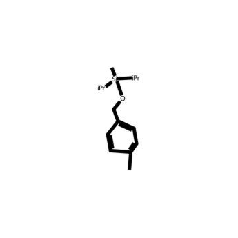 Cc1ccc(CO[Si](C)(C(C)C)C(C)C)cc1